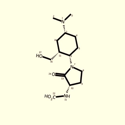 CN(C)[C@@H]1CC[C@H](N2CC[C@H](NC(=O)O)C2=O)[C@H](CO)C1